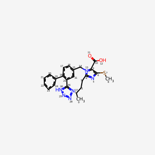 CCCCc1nc(SC)c(C(=O)O)n1Cc1ccc(-c2ccccc2)c(-c2nnn[nH]2)c1